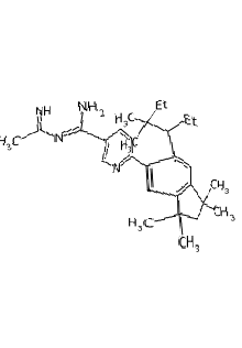 CCC(c1cc2c(cc1-c1ccc(/C(N)=N/C(C)=N)cn1)C(C)(C)CC2(C)C)C(C)(C)CC